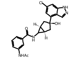 CC(=O)Nc1cccc(C(=O)NC2[C@H]3C[C@](O)(c4cc(Cl)cc5[nH]ncc45)C[C@@H]23)c1